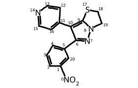 O=[N+]([O-])c1cccc(-c2nn3c(c2-c2ccncc2)SCC3)c1